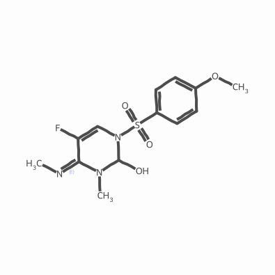 C/N=C1\C(F)=CN(S(=O)(=O)c2ccc(OC)cc2)C(O)N1C